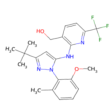 COc1cccc(C)c1-n1nc(C(C)(C)C)cc1Nc1nc(C(F)(F)F)ccc1CO